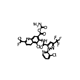 NC(=O)OC(=O)c1cc2nc(C(=O)F)ccc2c(Cl)c1NC(=O)c1cc(C(F)(F)F)nn1-c1ncccc1Cl